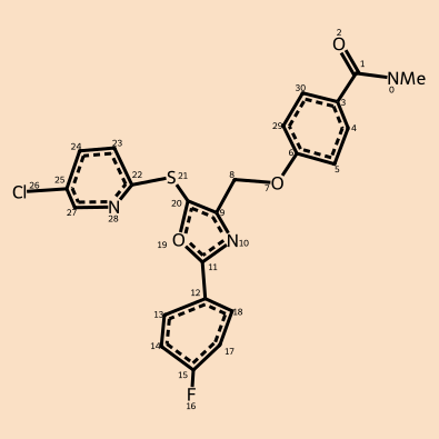 CNC(=O)c1ccc(OCc2nc(-c3ccc(F)cc3)oc2Sc2ccc(Cl)cn2)cc1